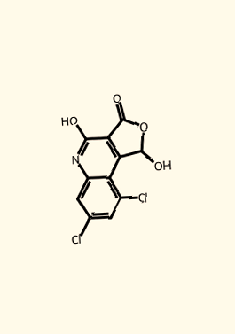 O=C1OC(O)c2c1c(O)nc1cc(Cl)cc(Cl)c21